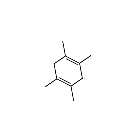 CC1=C(C)CC(C)=C(C)[CH]1